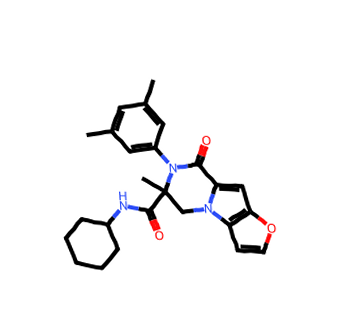 Cc1cc(C)cc(N2C(=O)c3cc4occc4n3CC2(C)C(=O)NC2CCCCC2)c1